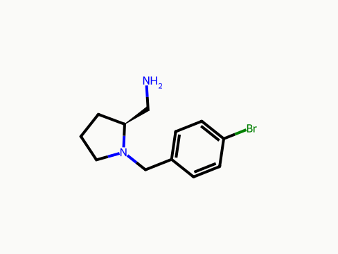 NC[C@@H]1CCCN1Cc1ccc(Br)cc1